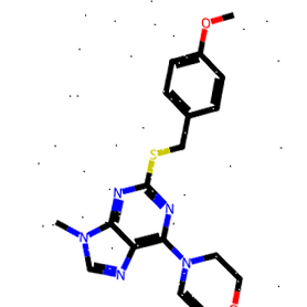 COc1ccc(CSc2nc(N3C=COCC3)c3ncn(C)c3n2)cc1